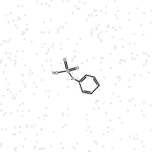 O=[S](=O)(O)[Zr][c]1ccccc1